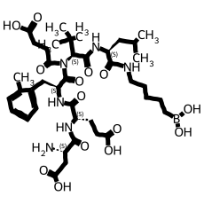 Cc1ccccc1C[C@H](NC(=O)[C@H](CCC(=O)O)NC(=O)[C@@H](N)CC(=O)O)C(=O)N(C(=O)CCC(=O)O)[C@H](C(=O)N[C@@H](CC(C)C)C(=O)NCCCCCB(O)O)C(C)(C)C